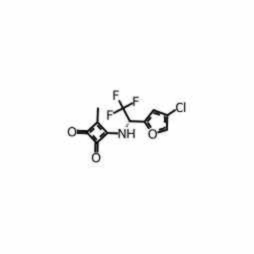 Cc1c(N[C@@H](c2cc(Cl)co2)C(F)(F)F)c(=O)c1=O